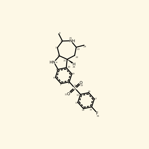 CC1CC2Nc3ccc(S(=O)(=O)c4ccc(F)cc4)cc3[C@H]2CC(C)N1